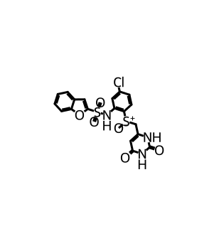 O=c1cc(C[S+]([O-])c2ccc(Cl)cc2NS(=O)(=O)c2cc3ccccc3o2)[nH]c(=O)[nH]1